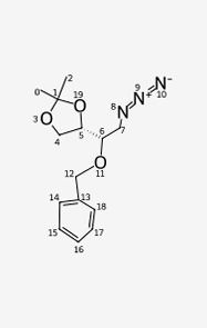 CC1(C)OC[C@@H](C(CN=[N+]=[N-])OCc2ccccc2)O1